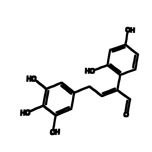 O=C/C(=C/Cc1cc(O)c(O)c(O)c1)c1ccc(O)cc1O